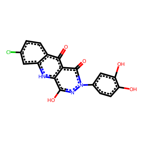 O=c1c2ccc(Cl)cc2[nH]c2c(O)nn(-c3ccc(O)c(O)c3)c(=O)c12